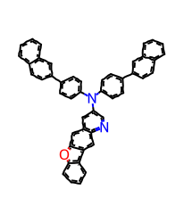 c1ccc2cc(-c3ccc(N(c4ccc(-c5ccc6ccccc6c5)cc4)c4cnc5cc6c(cc5c4)oc4ccccc46)cc3)ccc2c1